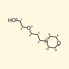 OCCOCCCN1CCOCC1